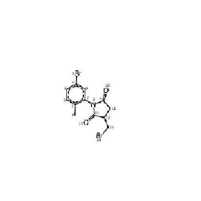 Cc1ccc(Br)cc1N1C(=O)CC(CBr)C1=O